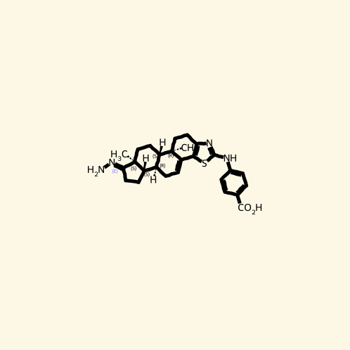 C[C@]12CCc3nc(Nc4ccc(C(=O)O)cc4)sc3C1=CC[C@@H]1[C@@H]2CC[C@]2(C)/C(=N/N)CC[C@@H]12